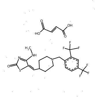 CNC1=NC(=O)SC1=CC1CCN(Cc2ccc(C(F)(F)F)cc2C(F)(F)F)CC1.O=C(O)C=CC(=O)O